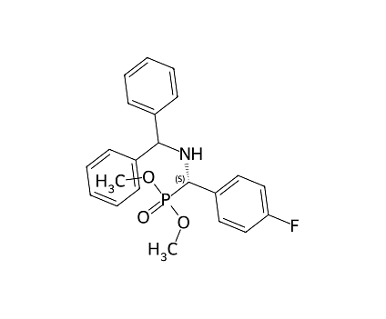 COP(=O)(OC)[C@H](NC(c1ccccc1)c1ccccc1)c1ccc(F)cc1